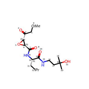 COCC(=O)[C@H]1O[C@@H]1C(=O)N[C@@H](CC(C)C)C(=O)NCCC(C)(C)O